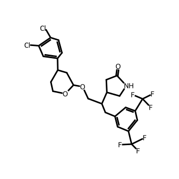 O=C1CC(C(COC2CC(c3ccc(Cl)c(Cl)c3)CCO2)Cc2cc(C(F)(F)F)cc(C(F)(F)F)c2)CN1